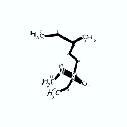 CCC(C)CCS(=O)(CC)=NC